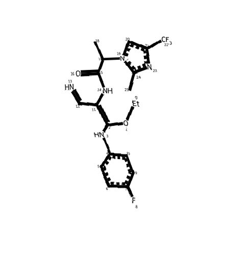 CCO/C(Nc1ccc(F)cc1)=C(/C=N)NC(=O)C(C)n1cc(C(F)(F)F)nc1C